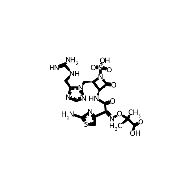 CC(C)(O/N=C(\C(=O)N[C@@H]1C(=O)N(S(=O)(=O)O)[C@@H]1Cn1ncnc1CNC(=N)N)c1csc(N)n1)C(=O)O